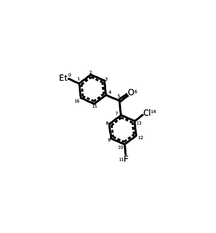 CCc1ccc(C(=O)c2ccc(F)cc2Cl)cc1